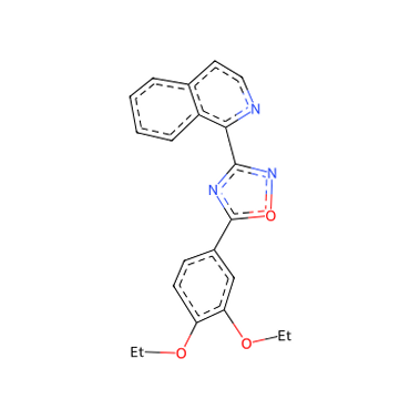 CCOc1ccc(-c2nc(-c3nccc4ccccc34)no2)cc1OCC